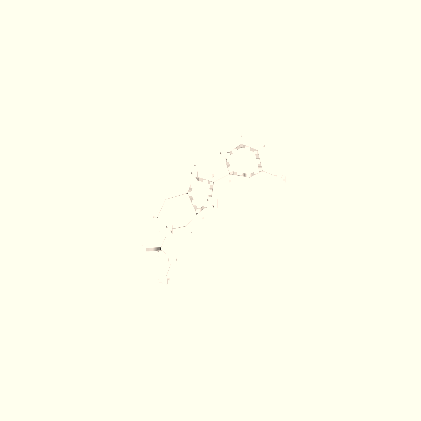 CC(C)(C)OC(=O)N1CCc2nc(-c3cc(Br)ccn3)[nH]c2C1